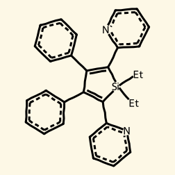 CC[Si]1(CC)C(c2ccccn2)=C(c2ccccc2)C(c2ccccc2)=C1c1ccccn1